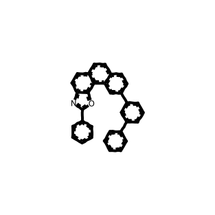 c1ccc(-c2cccc(-c3ccc4ccc5ccc6nc(-c7ccccc7)oc6c5c4c3)c2)cc1